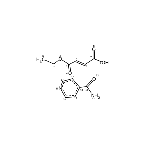 CCOC(=O)/C=C/C(=O)O.NC(=O)c1ccncc1